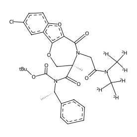 [2H]C([2H])([2H])N(C(=O)CN1C(=O)c2oc3ccc(Cl)cc3c2OC[C@]1(C)C(=O)N(C(=O)OC(C)(C)C)[C@@H](C)c1ccccc1)C([2H])([2H])[2H]